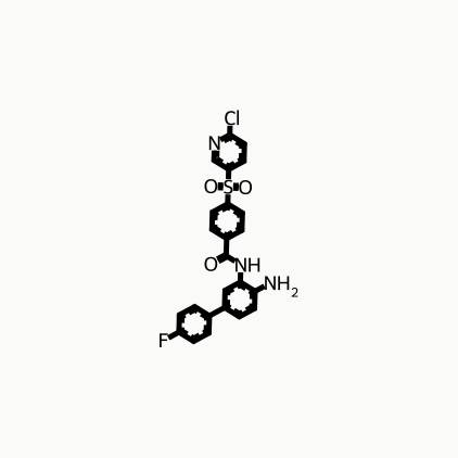 Nc1ccc(-c2ccc(F)cc2)cc1NC(=O)c1ccc(S(=O)(=O)c2ccc(Cl)nc2)cc1